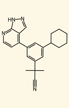 CC(C)(C#N)c1cc(-c2ccnc3[nH]ncc23)cc(C2CCCCC2)c1